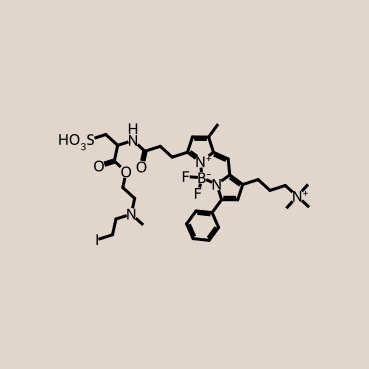 CC1=CC(CCC(=O)NC(CS(=O)(=O)O)C(=O)OCCN(C)CCI)=[N+]2C1=Cc1c(CCC[N+](C)(C)C)cc(-c3ccccc3)n1[B-]2(F)F